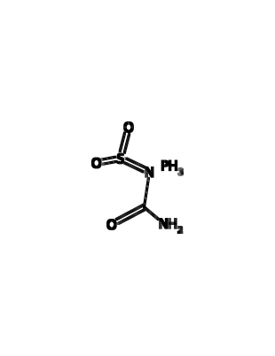 NC(=O)N=S(=O)=O.P